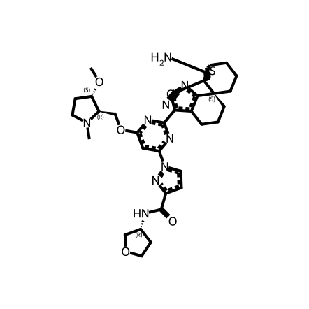 CO[C@H]1CCN(C)[C@@H]1COc1cc(-n2ccc(C(=O)N[C@@H]3CCOC3)n2)nc(-c2onc3c2CCC[C@@]32CCCc3sc(N)c(C#N)c32)n1